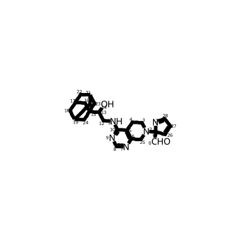 O=CC1(N2CCc3c(ncnc3NCC(O)C34CC5CC(CC(C5)C3)C4)C2)C=CC=N1